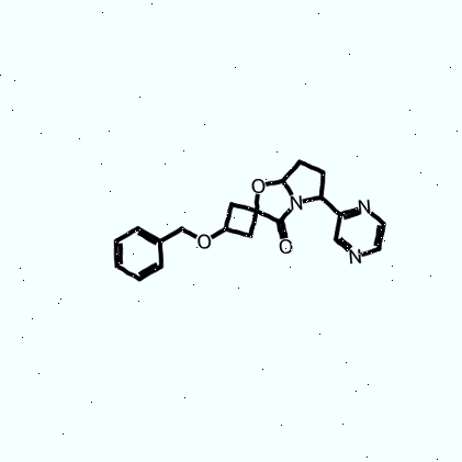 O=C1N2C(CCC2c2cnccn2)OC12CC(OCc1ccccc1)C2